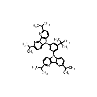 CC(C)c1ccc2c(n1)c1nc(C(C)C)ccc1n2-c1cc(-n2c3ccc(C(C)C)nc3c3nc(C(C)C)ccc32)cc(C(C)(C)C)c1